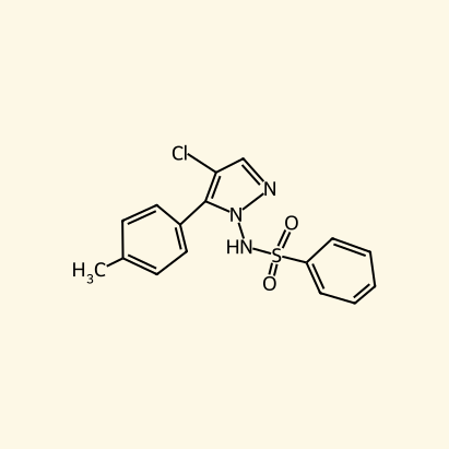 Cc1ccc(-c2c(Cl)cnn2NS(=O)(=O)c2ccccc2)cc1